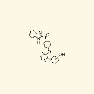 O=C(c1ccc(Oc2nccnc2[C@H]2CCC[C@@H](O)C2)cc1)c1nc2ccccc2[nH]1